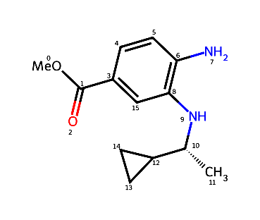 COC(=O)c1ccc(N)c(N[C@H](C)C2CC2)c1